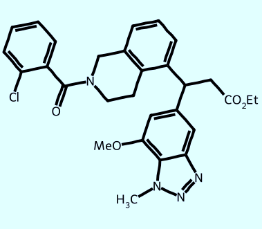 CCOC(=O)CC(c1cc(OC)c2c(c1)nnn2C)c1cccc2c1CCN(C(=O)c1ccccc1Cl)C2